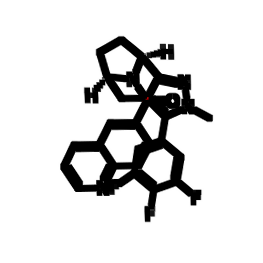 Cn1nc2c(c1-c1cc(F)c(F)c(F)c1)C[C@H]1CC[C@@H]2N1C(=O)c1ccc2ncccc2c1